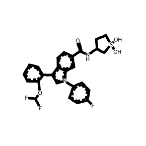 O=C(NC1CCS(O)(O)C1)c1ccc2c(-c3ccccc3OC(F)F)cn(-c3ccc(F)cc3)c2c1